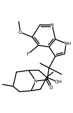 COc1cnc2[nH]cc(C(C)(C)C(=O)N3C4CC(C)CC3CC(C)(O)C4)c2c1F